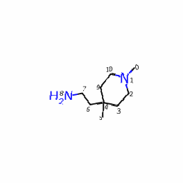 CN1CCC(C)(CCN)CC1